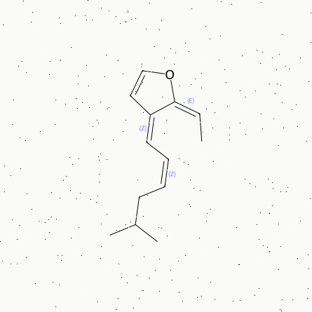 C/C=c1/occ/c1=C/C=C\CC(C)C